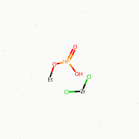 CCO[PH](=O)O.[Cl][Zr][Cl]